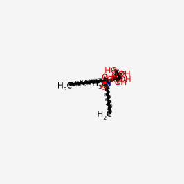 C=CCCCCCCCCCCS(C)(=O)=N[C@@H](OCC1OC(CO)C(O)C(O)C1O)[C@H](O)CCCCCCCCCCCCCCC